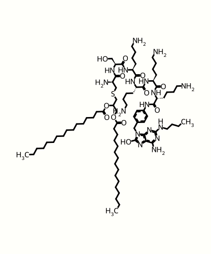 CCCCCCCCCCCCCCCC(=O)OCC(CSC[C@@H](N)C(=O)N[C@@H](CO)C(=O)N[C@@H](CCCCN)C(=O)N[C@@H](CCCCN)C(=O)N[C@@H](CCCCN)C(=O)N[C@H](CCCCN)C(=O)Nc1ccc(Cn2c(O)nc3c(N)nc(NCCCC)nc32)cc1)OC(=O)CCCCCCCCCCCCCCC